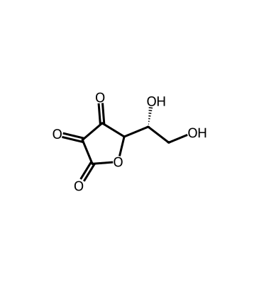 O=C1OC([C@H](O)CO)C(=O)C1=O